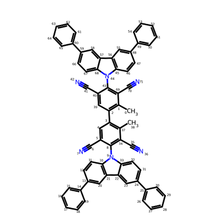 Cc1c(-c2cc(C#N)c(-n3c4ccc(-c5ccccc5)cc4c4cc(-c5ccccc5)ccc43)c(C#N)c2C)cc(C#N)c(-n2c3ccc(-c4ccccc4)cc3c3cc(-c4ccccc4)ccc32)c1C#N